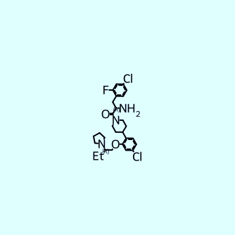 CC[C@H](COc1cc(Cl)ccc1C1CCN(C(=O)[C@H](N)Cc2ccc(Cl)cc2F)CC1)N1CCCC1